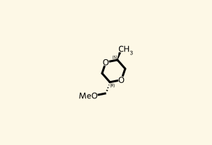 COC[C@@H]1CO[C@@H](C)CO1